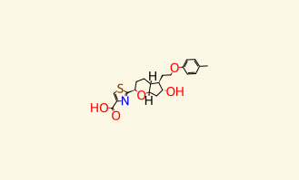 Cc1ccc(OCC[C@@H]2[C@H]3CC[C@H](c4nc(C(=O)O)cs4)O[C@H]3C[C@H]2O)cc1